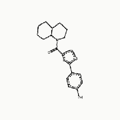 O=C(c1csc(-c2ccc(O)cc2)n1)N1CCCC2CCCCC21